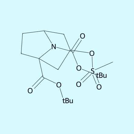 CC(C)(C)OC(=O)N1C2CCC1(C(=O)OC(C)(C)C)CC(OS(C)(=O)=O)C2